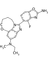 CCN(C)c1cc2c3c(c1)nc(-c1ccc4oc(N)nc4c1F)n3CCCCO2